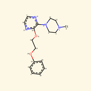 CCN1CCN(c2nccnc2OCCOc2ccccc2)CC1